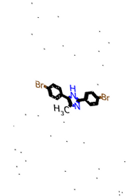 Cc1nc(-c2ccc(Br)cc2)[nH]c1-c1ccc(Br)cc1